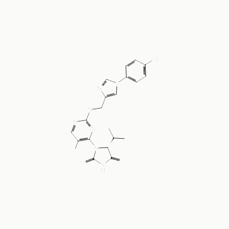 CC(C)[C@H]1C(=O)NC(=O)N1c1nc(N[C@@H](C)c2cn(-c3ccc(Cl)cc3)cn2)ncc1F